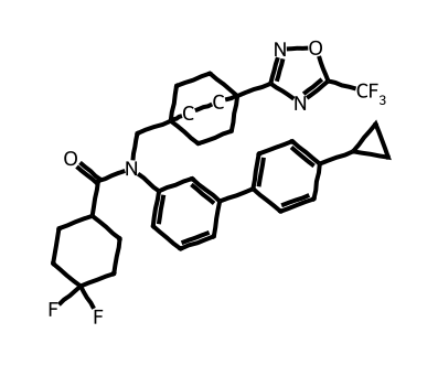 O=C(C1CCC(F)(F)CC1)N(CC12CCC(c3noc(C(F)(F)F)n3)(CC1)CC2)c1cccc(-c2ccc(C3CC3)cc2)c1